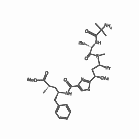 CCC(C)[C@H](NC(=O)C(C)(C)N)C(=O)N(C)[C@H](C[C@@H](OC(C)=O)c1nc(C(=O)N[C@@H](Cc2ccccc2)C[C@H](C)C(=O)OC)cs1)C(C)C